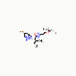 CCC(C)[C@H](NCC1CC(S)CN1)C(=O)NCCCOC(C)C